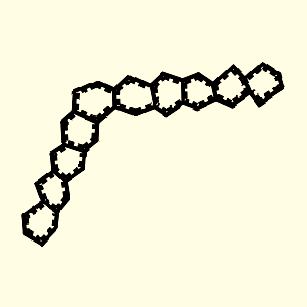 c1ccc2cc3cc4cc5cc6c(ccc7cc8cc9cc%10ccccc%10cc9cc8cc76)cc5cc4cc3cc2c1